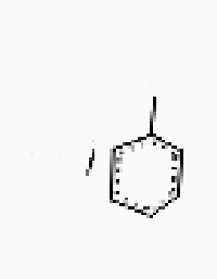 O=C([O-])[O-].O=C([O-])c1ccccc1.[Ag+].[Ag+].[Ag+]